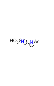 CC(=O)c1cccc(C2=CCN(C(=O)O)CC2)n1